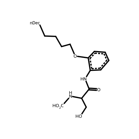 CCCCCCCCCCCCCCOc1ccccc1NC(=O)C(CO)NC(=O)O